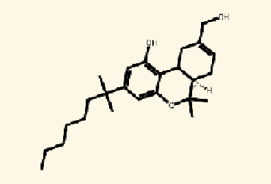 CCCCCCC(C)(C)c1cc(O)c2c(c1)OC(C)(C)[C@@H]1CC=C(CO)CC21